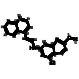 CCOc1ccc2c(CC)cc(N/N=C/c3ccnc4ccccc34)nc2c1